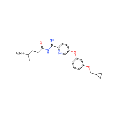 CC(=O)NC(C)CCC(=O)NC(=N)c1ccc(Oc2cccc(OCC3CC3)c2)cn1